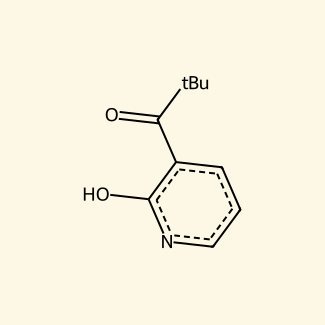 CC(C)(C)C(=O)c1cccnc1O